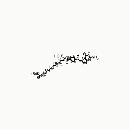 CC(C)(C)OC(=O)NCCOCCOCCNC(=O)CCC(NC(=O)c1ccc(NCc2cnc3nc(N)[nH]c(=O)c3n2)cc1)C(=O)O